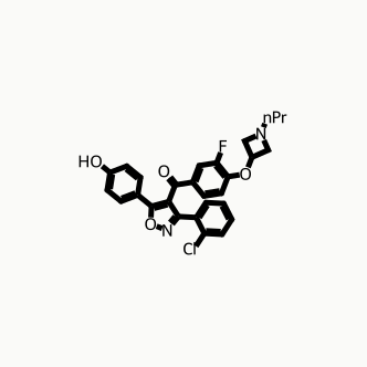 CCCN1CC(Oc2ccc(C(=O)c3c(-c4ccccc4Cl)noc3-c3ccc(O)cc3)cc2F)C1